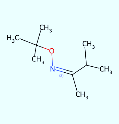 C/C(=N/OC(C)(C)C)C(C)C